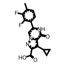 Cc1ccc(-c2cn3nc(C(=O)O)c(C4CC4)c3c(=O)[nH]2)c(F)c1F